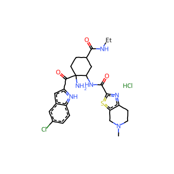 CCNC(=O)C1CCC(N)(C(=O)c2cc3cc(Cl)ccc3[nH]2)C(NC(=O)c2nc3c(s2)CN(C)CC3)C1.Cl